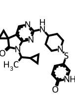 CC(C1CC1)N1C(=O)C2(CC2)c2cnc(NC3CCN(Sc4ccc(=O)[nH]c4)CC3)nc21